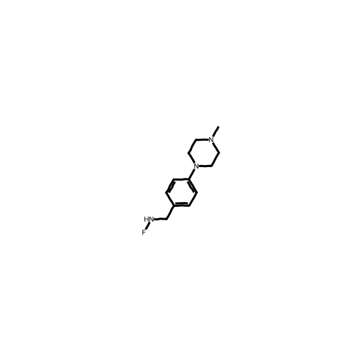 CN1CCN(c2ccc(CNF)cc2)CC1